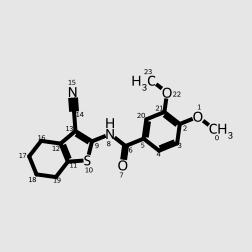 COc1ccc(C(=O)Nc2sc3c(c2C#N)CCCC3)cc1OC